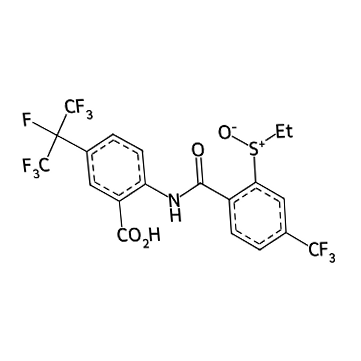 CC[S+]([O-])c1cc(C(F)(F)F)ccc1C(=O)Nc1ccc(C(F)(C(F)(F)F)C(F)(F)F)cc1C(=O)O